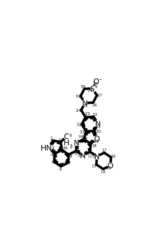 Cc1c[nH]c2cccc(-c3nc(N4CCOCC4)c4oc5ncc(CN6CC[S+]([O-])CC6)cc5c4n3)c12